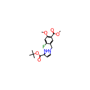 COC(=O)c1cc(Cn2ccc(C(=O)OC(C)(C)C)n2)c(F)cc1OC